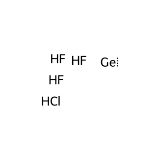 Cl.F.F.F.[Ge]